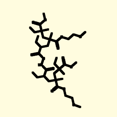 CCC(CC(C)(CC(C)(CC)C(=O)OC)C(=O)OCCOC)C(=O)NOC(=O)C(CC)CC(C)(CC(C)(CC)C(=O)OC)C(=O)OCCOC